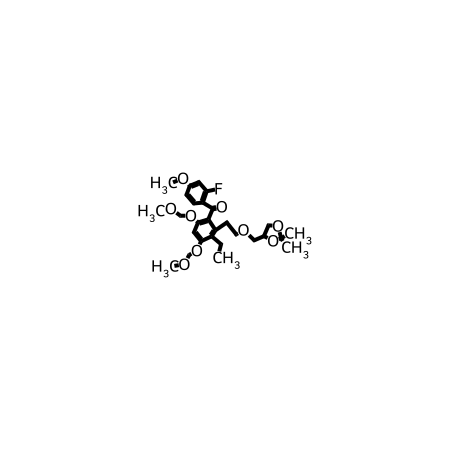 CCc1c(OCOC)cc(OCOC)c(C(=O)c2ccc(OC)cc2F)c1CCOCC1COC(C)(C)O1